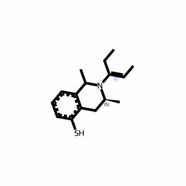 C/C=C(\CC)N1C(C)c2cccc(S)c2C[C@@H]1C